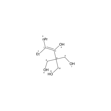 CCCC(CC)=C(O)C(CO)(CO)CO